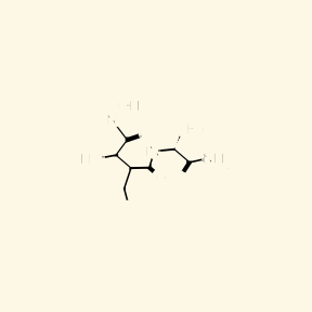 CC(C)CC(C(=O)N[C@H](C(N)=O)C(C)(C)C)C(O)C(=O)NO